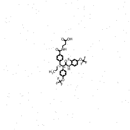 CCC[C@H](c1ccc(C(=O)NCCC(=O)O)cc1)[C@@H](C(=O)Nc1ccc(OC(F)(F)F)cc1F)c1ccc(OC(F)(F)F)cc1